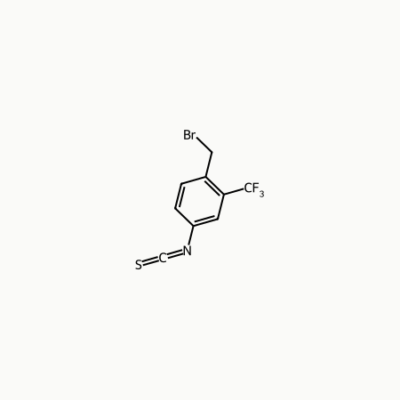 FC(F)(F)c1cc(N=C=S)ccc1CBr